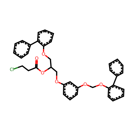 O=C(CCCl)OC(COc1cccc(OCOc2ccccc2-c2ccccc2)c1)COc1ccccc1-c1ccccc1